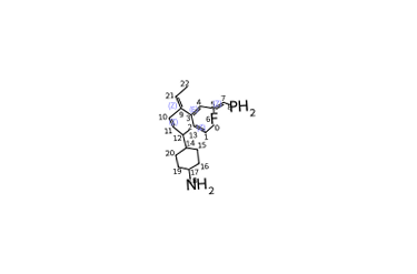 C\C=C/C(=C\C(F)=C\P)C(/C=C\C(C)C1CCC(N)CC1)=C\C